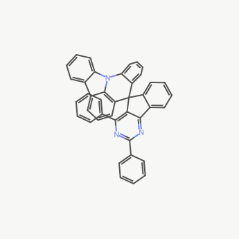 c1ccc(-c2nc(-c3ccccc3)c3c(n2)-c2ccccc2C32c3ccccc3-n3c4ccccc4c4cccc2c43)cc1